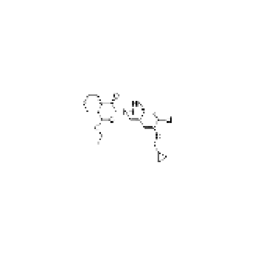 CCOC(=O)c1ccccc1C(=O)CN/C=C1/C=C(OCC2CC2)C(Cl)=CC1=N